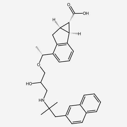 C[C@@H](OCC(O)CNC(C)(C)Cc1ccc2ccccc2c1)c1cccc2c1C[C@H]1[C@H](C(=O)O)[C@@H]21